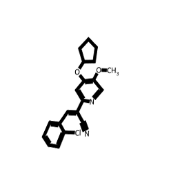 COc1cnc(C(C#N)=Cc2ccccc2Cl)cc1OC1CCCC1